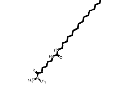 CCCCCCCCCCCCCCCCCCNC(=O)NCCCCCC(=O)N(C)C